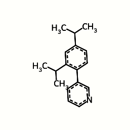 CC(C)c1ccc(-c2cccnc2)c(C(C)C)c1